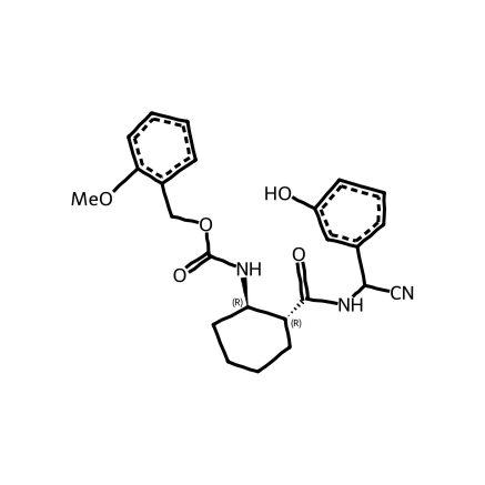 COc1ccccc1COC(=O)N[C@@H]1CCCC[C@H]1C(=O)NC(C#N)c1cccc(O)c1